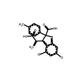 C=C(C(=O)O)C1=c2c(Cl)cc(Cl)cc2=NC1(C(=O)O)c1ccc(C)cc1